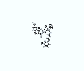 COc1ccc2ncc(N(C)C)c([C@H](O)CCC3(C(=O)NO)CCN(CCOc4cc(F)c(F)c(F)c4)CC3)c2c1